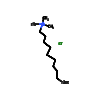 CCCCCCCCCCCCCCCCCCC[N+](C)(C)CCC.[Cl-]